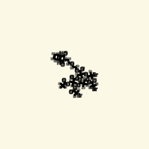 CC(C)(C)C(=O)OCC(C)(COC(=O)C(C)(C)Br)C(=O)OCC(C)(COC(=O)C(C)(COC(=O)C(C)(C)Br)COC(=O)C(C)(C)Br)C(=O)OCCOCCN1C(=O)[C@@H]2C3C=CC(O3)[C@@H]2C1=O